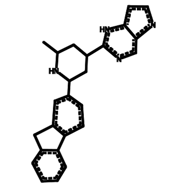 CC1CC(c2ncc3nccc-3[nH]2)CC(c2ccc3c(c2)Cc2ccccc2-3)N1